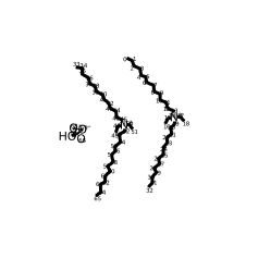 CCCCCCCCCCCCCC[N+](CC)(CC)CCCCCCCCCCCCCC.CCCCCCCCCCCCCC[N+](CC)(CC)CCCCCCCCCCCCCC.O=P([O-])([O-])O